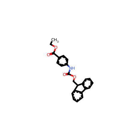 CCOC(=O)c1ccc(NC(=O)OCC2c3ccccc3-c3ccccc32)cc1